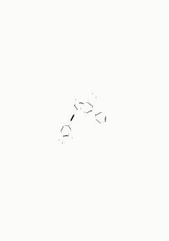 N#Cc1cc(-c2ccc(C(F)(F)F)cc2)cn2c(C#Cc3ccc(N)nc3)cnc12